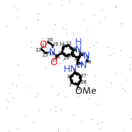 COc1ccc(Nc2ncnc3[nH]c4ccc(C(=O)N5CCOCC5)cc4c23)cc1